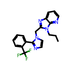 CCCn1c(Cn2ccnc2-c2ccccc2C(F)(F)F)nc2cccnc21